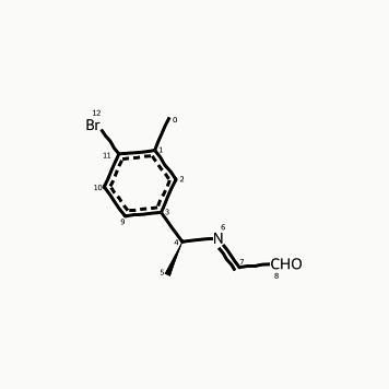 Cc1cc([C@H](C)N=CC=O)ccc1Br